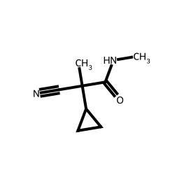 CNC(=O)C(C)(C#N)C1CC1